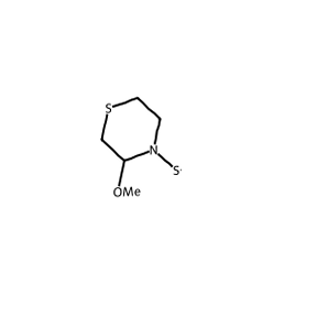 COC1CSCCN1[S]